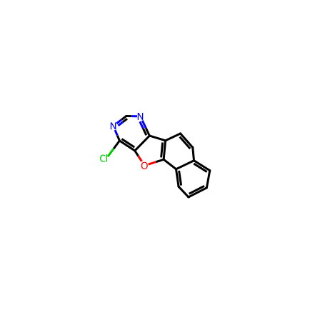 Clc1ncnc2c1oc1c3ccccc3ccc21